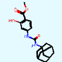 COC(=O)c1ccc(NC(=O)NC23CC4CC(CC(C4)C2)C3)cc1O